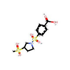 CS(=O)(=O)C1CCN(S(=O)(=O)c2ccc(C(=O)O)cc2)C1